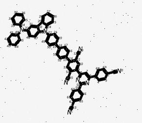 N#Cc1ccc(-c2cc(-c3cc(C#N)c(-c4ccc(-c5ccc(-n6c7ccccc7c7cc(N(c8ccccc8)c8ccccc8)ccc76)cc5)cc4)cc3C#N)nc(-c3ccc(C#N)cc3)n2)cc1